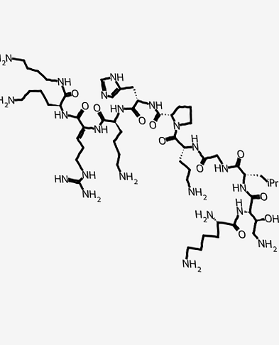 CC(C)C[C@H](NC(=O)[C@@H](NC(=O)[C@@H](N)CCCCN)[C@@H](O)CN)C(=O)NCC(=O)N[C@H](CCCN)C(=O)N1CCC[C@H]1C(=O)N[C@@H](Cc1cnc[nH]1)C(=O)N[C@@H](CCCCN)C(=O)N/C(=C\CCNC(=N)N)C(=O)N[C@@H](CCCCN)C(=O)NCCCCN